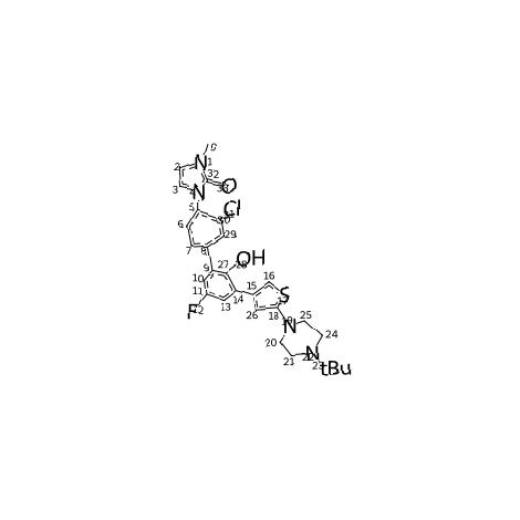 Cn1ccn(-c2ccc(-c3cc(F)cc(-c4csc(N5CCN(C(C)(C)C)CC5)c4)c3O)cc2Cl)c1=O